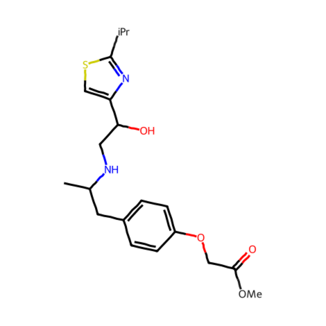 COC(=O)COc1ccc(CC(C)NCC(O)c2csc(C(C)C)n2)cc1